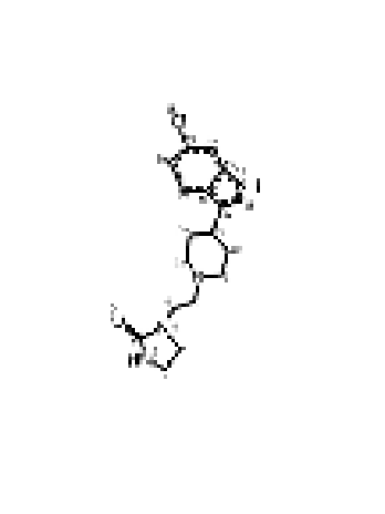 O=C1NCCN1CCN1CCC(c2c[nH]c3cc(Cl)ccc23)CC1